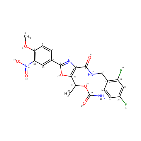 COc1ccc(-c2nc(C(=O)NCc3ccc(F)cc3F)c(C(C)OC(N)=O)o2)cc1[N+](=O)[O-]